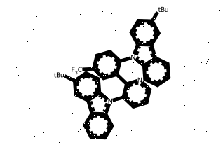 CC(C)(C)c1ccc2c(c1)c1ccccc1n2-c1ccc(C(F)(F)F)cc1-c1ncccc1-n1c2ccccc2c2cc(C(C)(C)C)ccc21